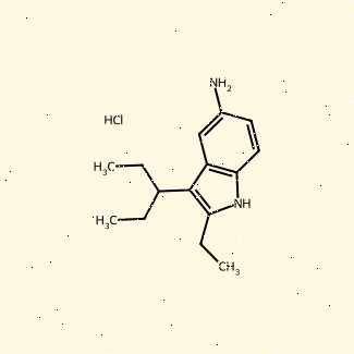 CCc1[nH]c2ccc(N)cc2c1C(CC)CC.Cl